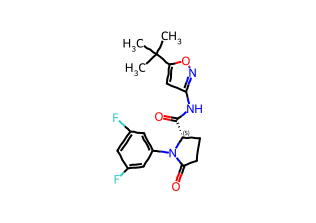 CC(C)(C)c1cc(NC(=O)[C@@H]2CCC(=O)N2c2cc(F)cc(F)c2)no1